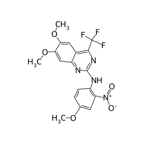 COc1ccc(Nc2nc(C(F)(F)F)c3cc(OC)c(OC)cc3n2)c([N+](=O)[O-])c1